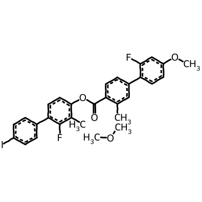 COC.COc1ccc(-c2ccc(C(=O)Oc3ccc(-c4ccc(I)cc4)c(F)c3C)c(C)c2)c(F)c1